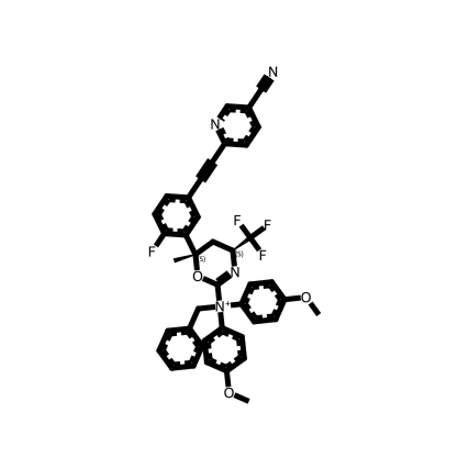 COc1ccc([N+](Cc2ccccc2)(C2=N[C@H](C(F)(F)F)C[C@@](C)(c3cc(C#Cc4ccc(C#N)cn4)ccc3F)O2)c2ccc(OC)cc2)cc1